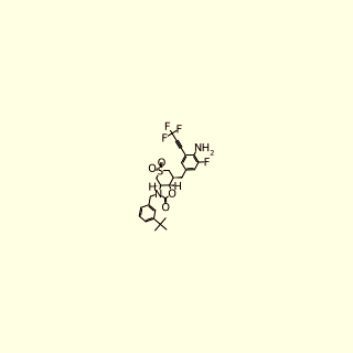 CC(C)(C)c1cccc(CN2C(=O)O[C@H]3[C@H](Cc4cc(F)c(N)c(C#CC(F)(F)F)c4)CS(=O)(=O)C[C@@H]32)c1